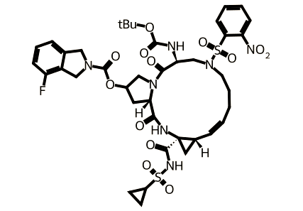 CC(C)(C)OC(=O)N[C@H]1CN(S(=O)(=O)c2ccccc2[N+](=O)[O-])CCC/C=C\[C@@H]2C[C@@]2(C(=O)NS(=O)(=O)C2CC2)NC(=O)[C@@H]2CC(OC(=O)N3Cc4cccc(F)c4C3)CN2C1=O